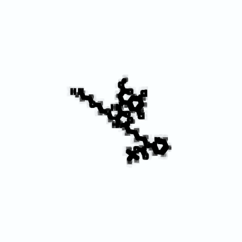 COC(=O)CC(NC(=O)[C@H](COCCOCCN)NC(=O)CCCCN(C(=O)OC(C)(C)C)c1ccccn1)c1cc(Cl)cc(Cl)c1